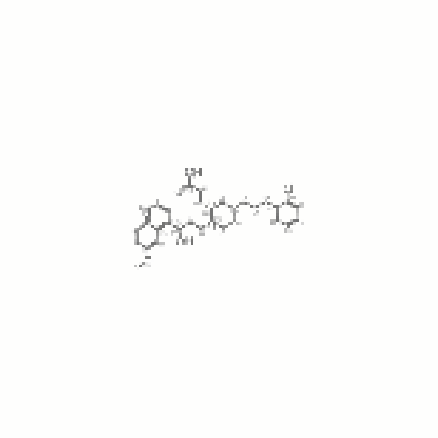 COc1ccc2nccc([C@H](O)CC[C@@H]3CCN(CCCc4ccccc4Cl)C[C@H]3CCC(=O)O)c2c1